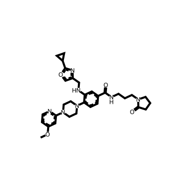 COc1ccnc(N2CCN(c3ccc(C(=O)NCCCN4CCCC4=O)cc3NCc3coc(C4CC4)n3)CC2)c1